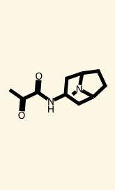 CC(=O)C(=O)NC1CC2CCC(C1)N2C